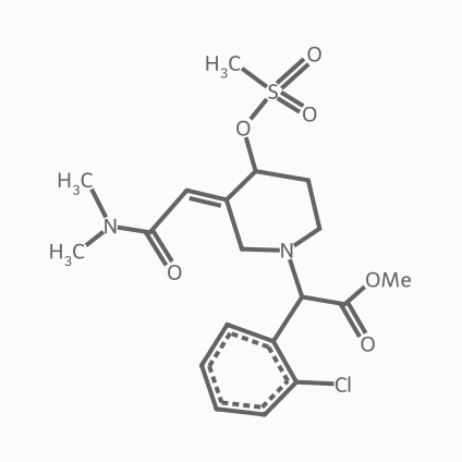 COC(=O)C(c1ccccc1Cl)N1CCC(OS(C)(=O)=O)C(=CC(=O)N(C)C)C1